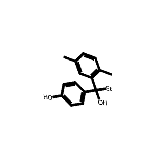 CCC(O)(c1ccc(O)cc1)c1cc(C)ccc1C